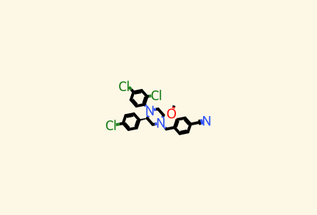 COc1cc(C#N)ccc1CN1CCN(c2ccc(Cl)cc2Cl)[C@H](c2ccc(Cl)cc2)C1